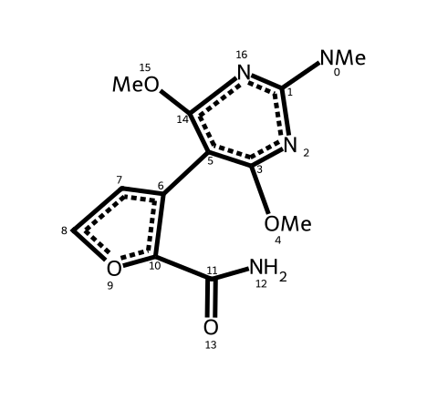 CNc1nc(OC)c(-c2ccoc2C(N)=O)c(OC)n1